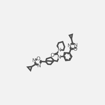 O=C(N1CCCCC1)N(CC12CCC(c3nc(C4CC4)no3)(CC1)CC2)c1cccc(-c2nc(C3CC3)no2)c1